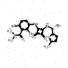 Cc1ccc([C@H](Nc2c(Nc3ccc(Br)c(C(=O)N(C)C)c3O)c(=O)c2=O)C(C)(C)C)o1